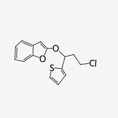 ClCCC(Oc1cc2ccccc2o1)c1cccs1